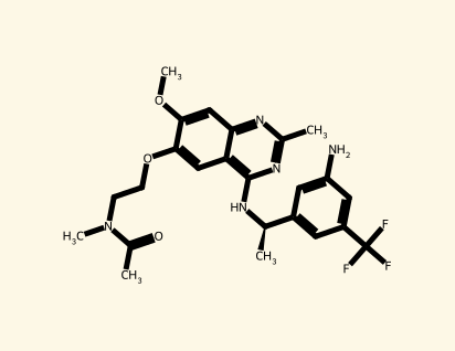 COc1cc2nc(C)nc(N[C@H](C)c3cc(N)cc(C(F)(F)F)c3)c2cc1OCCN(C)C(C)=O